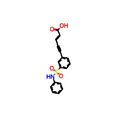 O=C(O)/C=C/C#Cc1cccc(S(=O)(=O)Nc2ccccc2)c1